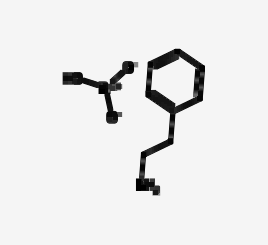 NCCc1ccccc1.[O-][Br+2]([O-])O